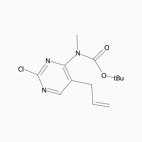 C=CCc1cnc(Cl)nc1N(C)C(=O)OC(C)(C)C